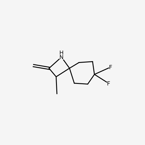 C=C1NC2(CCC(F)(F)CC2)C1C